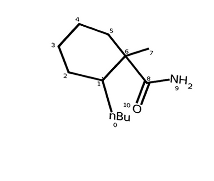 CCCC[C]1CCCCC1(C)C(N)=O